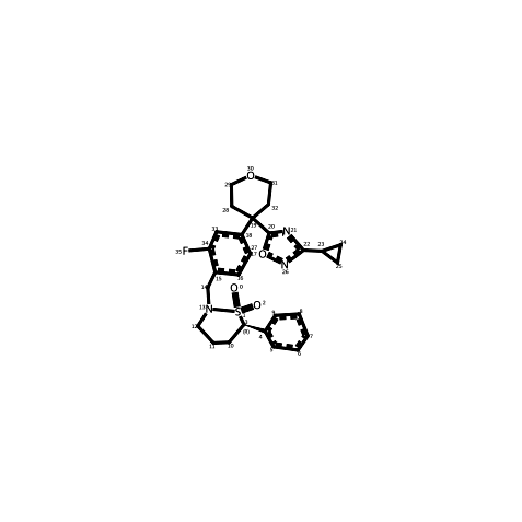 O=S1(=O)[C@@H](c2ccccc2)CCCN1Cc1ccc(C2(c3nc(C4CC4)no3)CCOCC2)cc1F